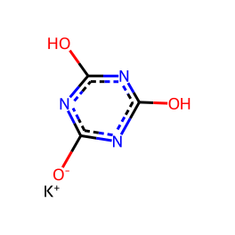 [K+].[O-]c1nc(O)nc(O)n1